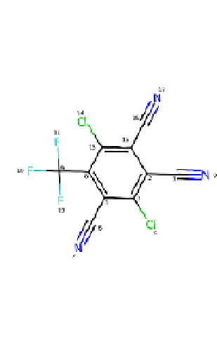 N#Cc1c(Cl)c(C#N)c(C(F)(F)F)c(Cl)c1C#N